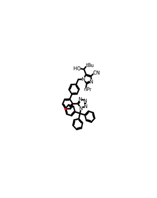 CCCc1nc(C#N)c(C(O)C(C)(C)C)n1Cc1ccc(-c2ccccc2-c2nnnn2C(c2ccccc2)(c2ccccc2)c2ccccc2)cc1